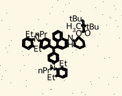 CCCN(c1ccc(C(c2ccc(N(CCC)c3c(CC)cccc3CC)cc2)c2ccc(NC3CCCCC3OC(=O)C(C)(CC(C)(C)C)C(C)(C)C)c3ccccc23)cc1)c1c(CC)cccc1CC